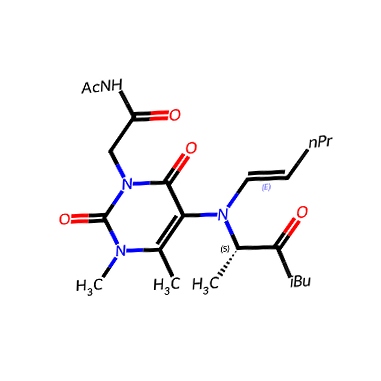 CCC/C=C/N(c1c(C)n(C)c(=O)n(CC(=O)NC(C)=O)c1=O)[C@@H](C)C(=O)C(C)CC